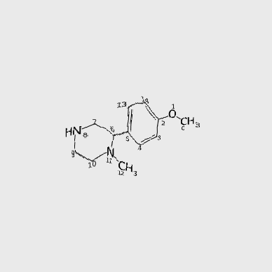 COc1ccc(C2CNCCN2C)cc1